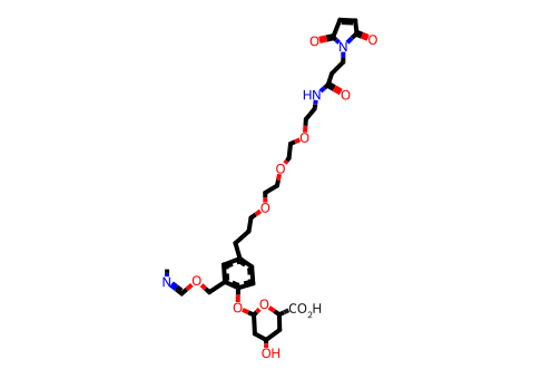 C/N=C\OCc1cc(CCCOCCOCCOCCNC(=O)CCN2C(=O)C=CC2=O)ccc1OC1CC(O)CC(C(=O)O)O1